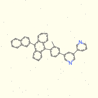 Cc1cc(-c2cncc(-c3cccnc3)c2)ccc1-c1c2ccccc2c(-c2ccc3ccccc3c2)c2ccccc12